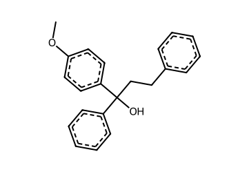 COc1ccc(C(O)(CCc2ccccc2)c2ccccc2)cc1